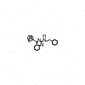 c1ccc(CCNc2nc(N3CC4CCC(CC4)C3)c3ccccc3n2)cc1